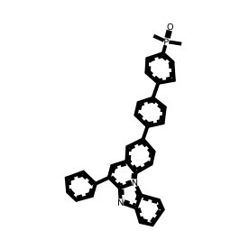 CP(C)(=O)c1ccc(-c2ccc(-c3ccc4c(c3)cc(-c3ccccc3)c3nc5ccccc5n34)cc2)cc1